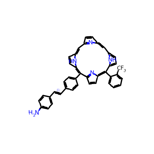 Nc1ccc(/C=C/c2ccc(-c3c4nc(c(-c5ccccc5C(F)(F)F)c5ccc(cc6nc(cc7ccc3[nH]7)C=C6)[nH]5)C=C4)cc2)cc1